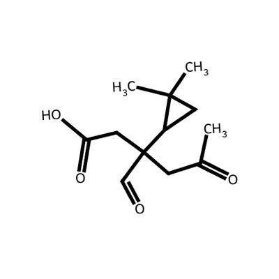 CC(=O)CC(C=O)(CC(=O)O)C1CC1(C)C